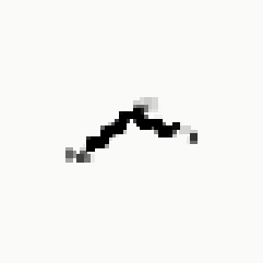 CCCC=CCC(C)CCCC